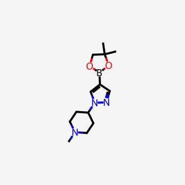 CN1CCC(n2cc(B3OCC(C)(C)O3)cn2)CC1